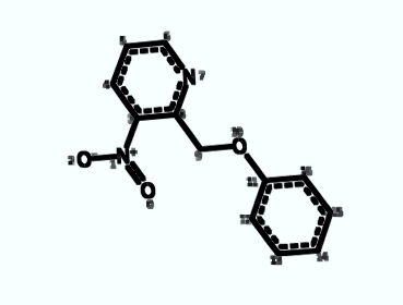 O=[N+]([O-])c1cccnc1COc1ccccc1